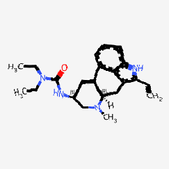 C=Cc1[nH]c2cccc3c2c1C[C@@H]1C3C[C@H](NC(=O)N(CC)CC)CN1C